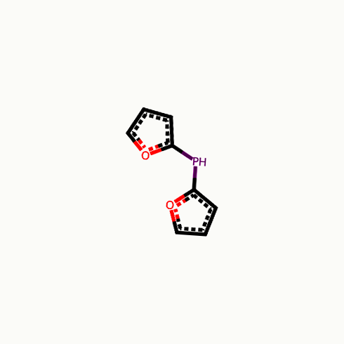 c1coc(Pc2ccco2)c1